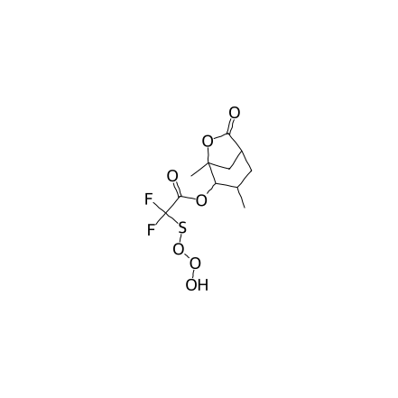 CC1CC2CC(C)(OC2=O)C1OC(=O)C(F)(F)SOOO